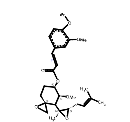 COc1cc(/C=C/C(=O)O[C@@H]2CC[C@]3(CO3)C([C@]3(C)O[C@H]3CC=C(C)C)[C@@H]2OC)ccc1OC(C)C